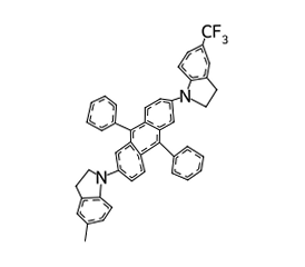 Cc1ccc2c(c1)CCN2c1ccc2c(-c3ccccc3)c3cc(N4CCc5cc(C(F)(F)F)ccc54)ccc3c(-c3ccccc3)c2c1